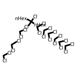 CCCCCCC(Cl)(Cl)CCCCCC.ClCCl.ClCCl.ClCCl.ClCCl.ClCCl.ClCCl.ClCCl.ClCCl.ClCCl